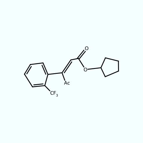 CC(=O)C(=CC(=O)OC1CCCC1)c1ccccc1C(F)(F)F